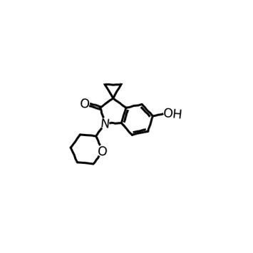 O=C1N(C2CCCCO2)c2ccc(O)cc2C12CC2